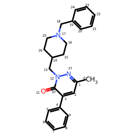 Cc1cc(-c2ccccc2)c(=O)n(CC2CCN(Cc3ccccc3)CC2)n1